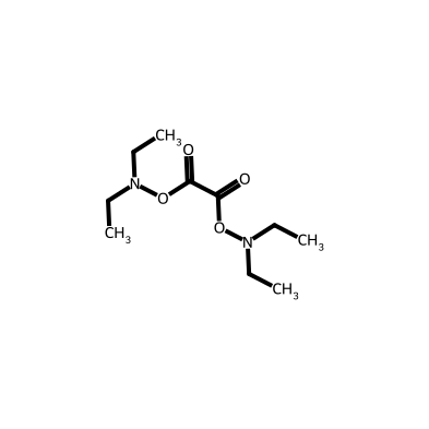 CCN(CC)OC(=O)C(=O)ON(CC)CC